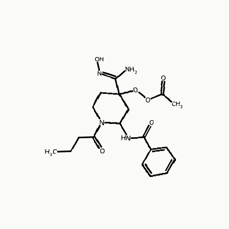 CCCC(=O)N1CCC(OOC(C)=O)(C(N)=NO)CC1NC(=O)c1ccccc1